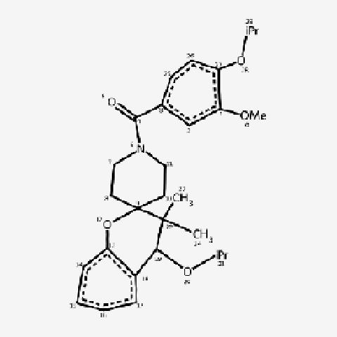 COc1cc(C(=O)N2CCC3(CC2)Oc2ccccc2C(OC(C)C)C3(C)C)ccc1OC(C)C